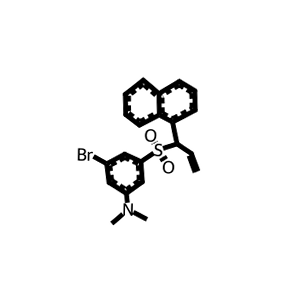 C=CC(c1cccc2ccccc12)S(=O)(=O)c1cc(Br)cc(N(C)C)c1